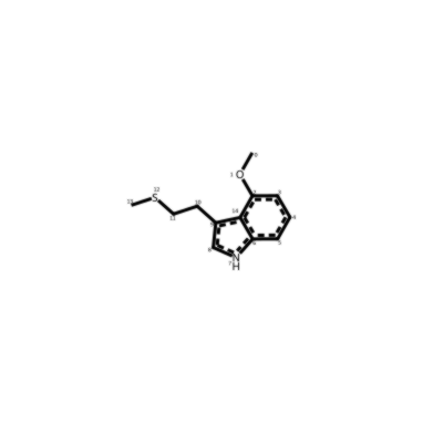 COc1cccc2[nH]cc(CCSC)c12